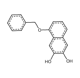 Oc1cc2cccc(OCc3ccccc3)c2cc1O